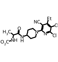 CCc1c(C#N)c(Cl)nc(N2CCC(NC(=O)C(C)NC(=O)O)CC2)c1C#N